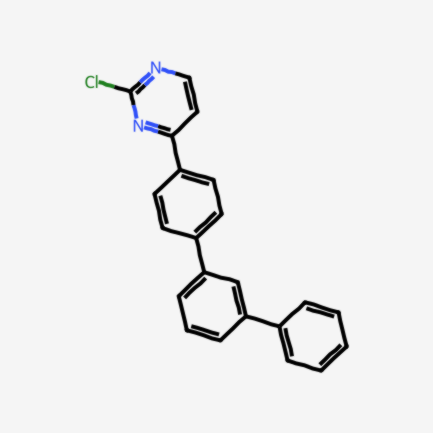 Clc1nccc(-c2ccc(-c3cccc(-c4ccccc4)c3)cc2)n1